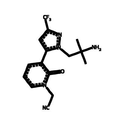 CC(C)(N)Cn1nc(C(F)(F)F)cc1-c1cccn(CC#N)c1=O